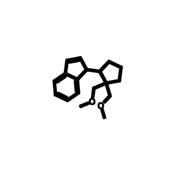 COCC1(COC)CCCC1C1C=Cc2ccccc21